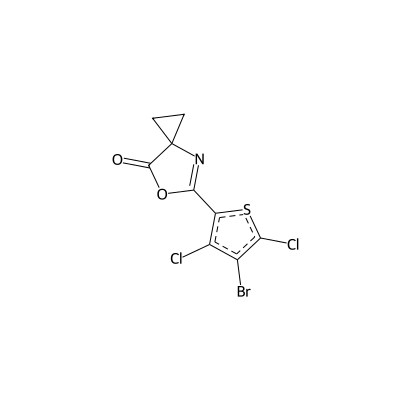 O=C1OC(c2sc(Cl)c(Br)c2Cl)=NC12CC2